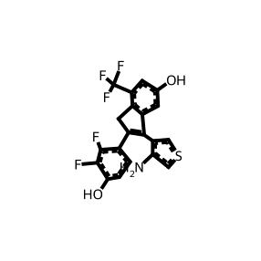 Nc1cscc1C1=C(c2ccc(O)c(F)c2F)Cc2c1cc(O)cc2C(F)(F)F